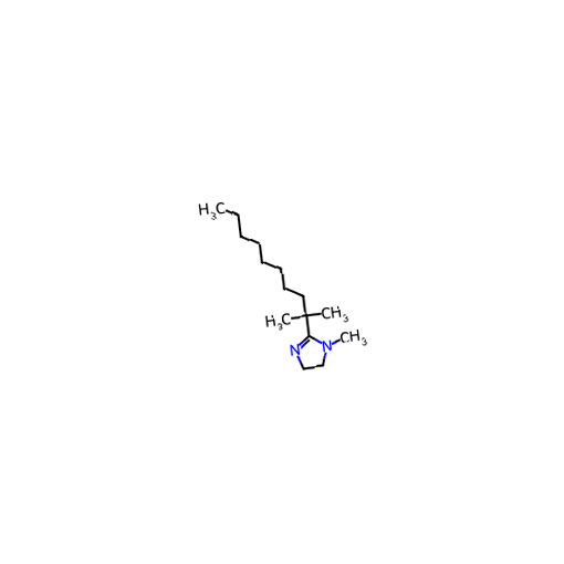 CCCCCCCCC(C)(C)C1=NCCN1C